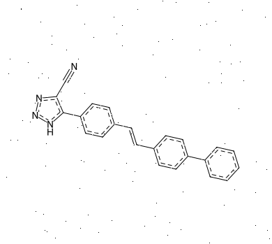 N#Cc1nn[nH]c1-c1ccc(C=Cc2ccc(-c3ccccc3)cc2)cc1